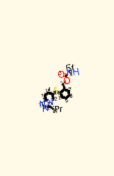 CCNC(=O)OCc1ccccc1Sc1ccc2nnc(C(C)C)n2c1